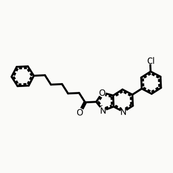 O=C(CCCCCc1ccccc1)c1nc2ncc(-c3cccc(Cl)c3)cc2o1